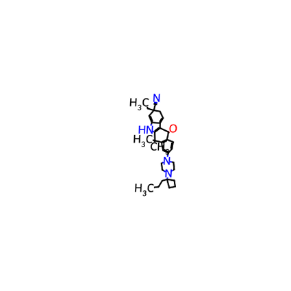 CCCC1(N2CCN(c3ccc4c(c3)C(C)(C)c3[nH]c5c(c3C4=O)=CCC(C#N)(CC)C=5)CC2)CCC1